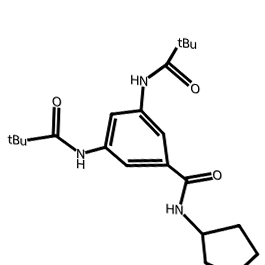 CC(C)(C)C(=O)Nc1cc(NC(=O)C(C)(C)C)cc(C(=O)NC2CCCC2)c1